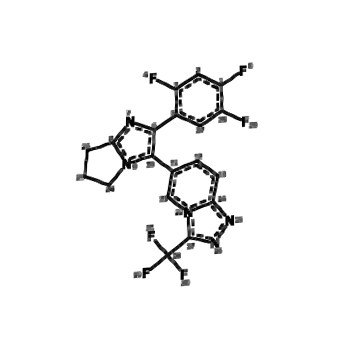 Fc1cc(F)c(-c2nc3n(c2-c2ccc4nnc(C(F)(F)F)n4c2)CCC3)cc1F